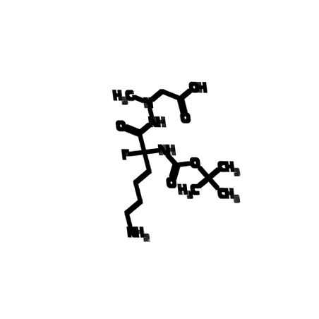 CN(CC(=O)O)NC(=O)C(F)(CCCCN)NC(=O)OC(C)(C)C